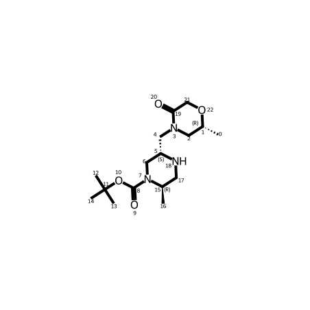 C[C@@H]1CN(C[C@H]2CN(C(=O)OC(C)(C)C)[C@H](C)CN2)C(=O)CO1